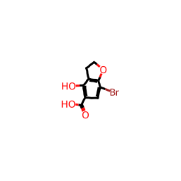 O=C(O)c1cc(Br)c2c(c1O)CCO2